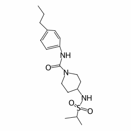 CCCc1ccc(NC(=O)N2CCC(NS(=O)(=O)C(C)C)CC2)cc1